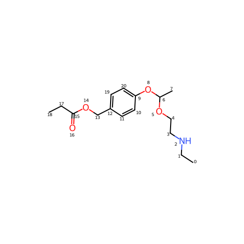 CCNCCOC(C)Oc1ccc(COC(=O)CC)cc1